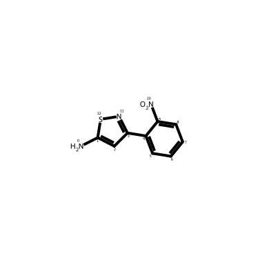 Nc1cc(-c2ccccc2[N+](=O)[O-])ns1